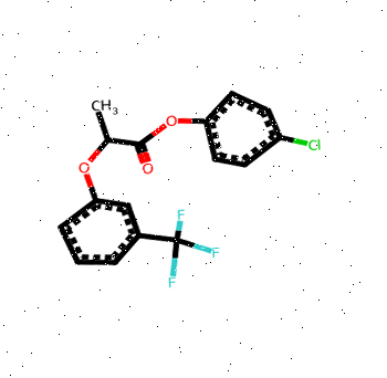 CC(Oc1cccc(C(F)(F)F)c1)C(=O)Oc1ccc(Cl)cc1